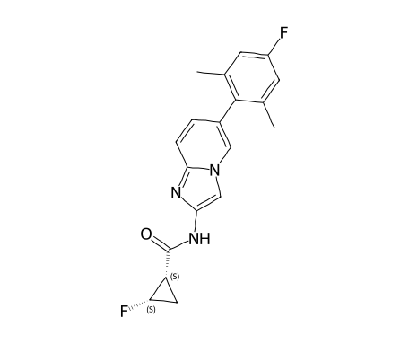 Cc1cc(F)cc(C)c1-c1ccc2nc(NC(=O)[C@@H]3C[C@@H]3F)cn2c1